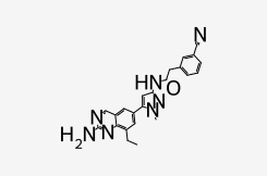 CCc1cc(-c2cc(NC(=O)Cc3cccc(C#N)c3)nn2C)cc2cnc(N)nc12